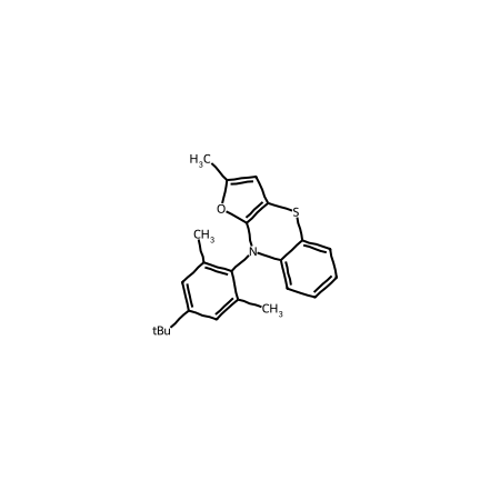 Cc1cc2c(o1)N(c1c(C)cc(C(C)(C)C)cc1C)c1ccccc1S2